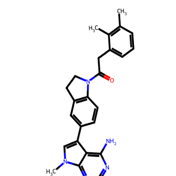 Cc1cccc(CC(=O)N2CCc3cc(-c4cn(C)c5ncnc(N)c45)ccc32)c1C